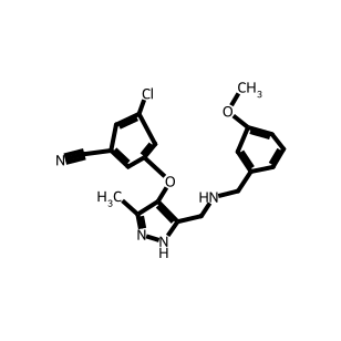 COc1cccc(CNCc2[nH]nc(C)c2Oc2cc(Cl)cc(C#N)c2)c1